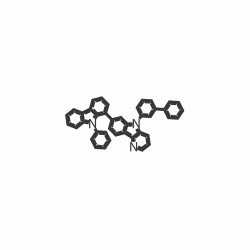 c1ccc(-c2cccc(-n3c4cc(-c5cccc6c7ccccc7n(-c7ccccc7)c56)ccc4c4ncccc43)c2)cc1